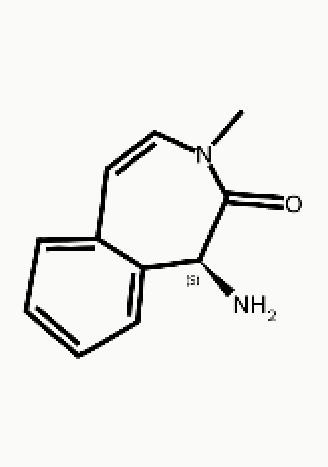 CN1C=Cc2ccccc2[C@H](N)C1=O